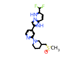 C[S+]([O-])CC1CCCN(c2cc(-c3cnc(/C=C\C(=N)C(F)F)[nH]3)ccn2)C1